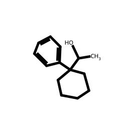 CC(O)C1(c2ccccc2)CCCCC1